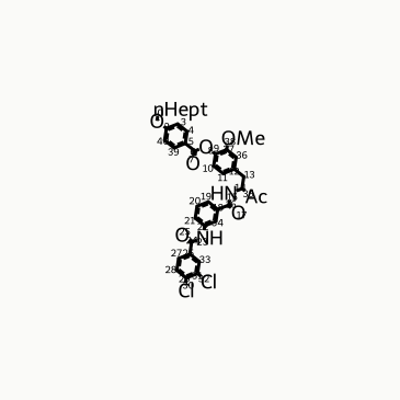 CCCCCCCOc1ccc(C(=O)Oc2ccc(CC(NC(=O)c3cccc(NC(=O)c4ccc(Cl)c(Cl)c4)c3)C(C)=O)cc2OC)cc1